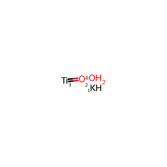 O.[KH].[O]=[Ti]